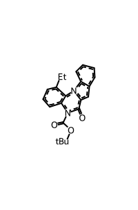 CCc1cccc2c1n1c(cc3ccccc31)c(=O)n2C(=O)OC(C)(C)C